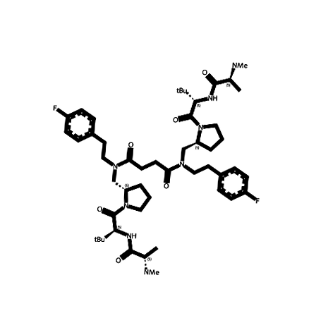 CN[C@@H](C)C(=O)N[C@H](C(=O)N1CCC[C@H]1CN(CCc1ccc(F)cc1)C(=O)CCC(=O)N(CCc1ccc(F)cc1)C[C@@H]1CCCN1C(=O)[C@@H](NC(=O)[C@H](C)NC)C(C)(C)C)C(C)(C)C